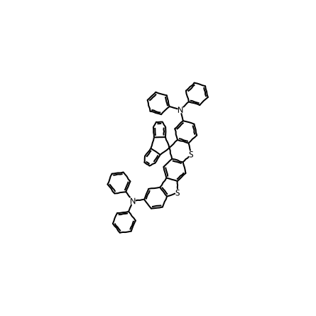 c1ccc(N(c2ccccc2)c2ccc3c(c2)C2(c4cc5c(cc4S3)sc3ccc(N(c4ccccc4)c4ccccc4)cc35)c3ccccc3-c3ccccc32)cc1